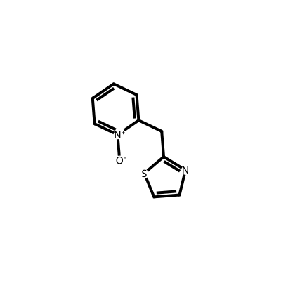 [O-][n+]1ccccc1Cc1nccs1